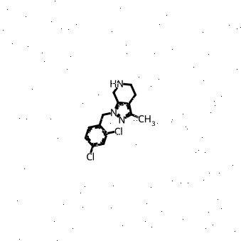 Cc1nn(Cc2ccc(Cl)cc2Cl)c2c1CCNC2